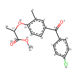 Cc1cc(C(=O)c2ccc(Cl)cc2)ccc1OC(C)C(=O)OC(C)C